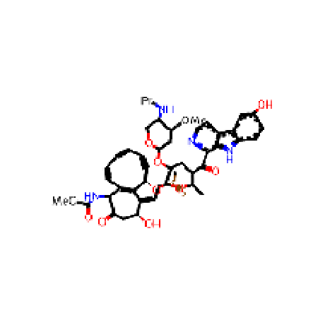 COC(=O)NC1C(=O)C[C@H](O)/C(=C/CS(C)=S)C2=C1C#C/C=C\C#C[C@@H]2OC1OC(C)C(C(=O)c2nccc3c2[nH]c2ccc(O)cc23)CC1OC1CC(OC)C(NC(C)C)CO1